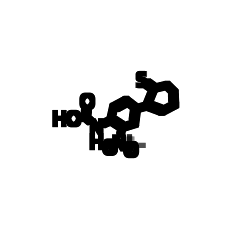 O=C(O)Nc1ccc(C2=CC=CCC2=S)cc1[N+](=O)[O-]